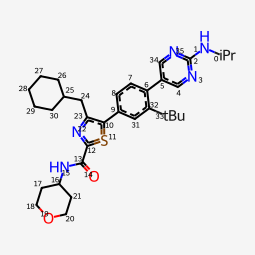 CC(C)Nc1ncc(-c2ccc(-c3sc(C(=O)NC4CCOCC4)nc3CC3CCCCC3)cc2C(C)(C)C)cn1